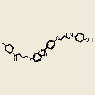 C[C@H]1CC[C@H](NCCCOc2ccc3nc(-c4ccc(OCCCN[C@H]5CC[C@H](O)CC5)cc4)oc3c2)CC1